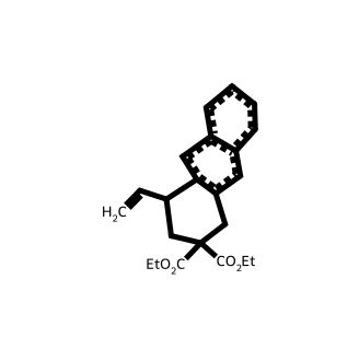 C=CC1CC(C(=O)OCC)(C(=O)OCC)Cc2cc3ccccc3cc21